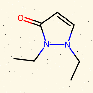 CCn1ccc(=O)n1CC